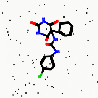 O=C1NC(=O)C(NC(=O)Nc2ccc(Cl)cc2)(c2ccccc2)C(=O)N1